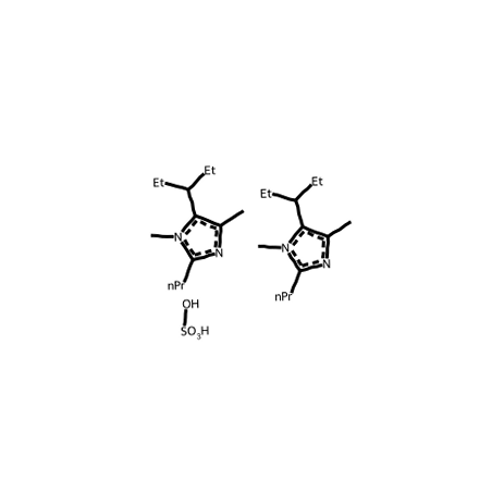 CCCc1nc(C)c(C(CC)CC)n1C.CCCc1nc(C)c(C(CC)CC)n1C.O=S(=O)(O)O